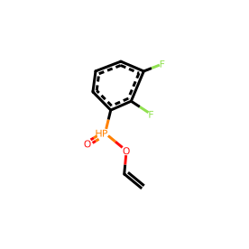 C=CO[PH](=O)c1cccc(F)c1F